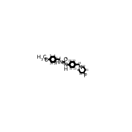 COc1ccc(CNC(=O)Nc2ccc(CN3CCC(F)CC3)cc2)cc1